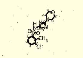 Cc1c(Cl)cccc1S(=O)(=O)Nc1nc(N2CCOCC2)ns1